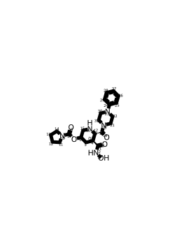 O=C(NO)[C@H]1CC(OC(=O)N2CCCC2)CN[C@@H]1C(=O)N1CCN(c2ccccc2)CC1